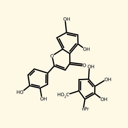 CCCc1c(C(=O)O)cc(O)c(O)c1O.O=c1cc(-c2ccc(O)c(O)c2)oc2cc(O)cc(O)c12